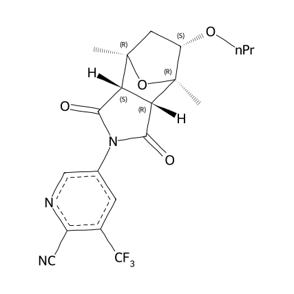 CCCO[C@H]1C[C@@]2(C)O[C@]1(C)[C@@H]1C(=O)N(c3cnc(C#N)c(C(F)(F)F)c3)C(=O)[C@@H]12